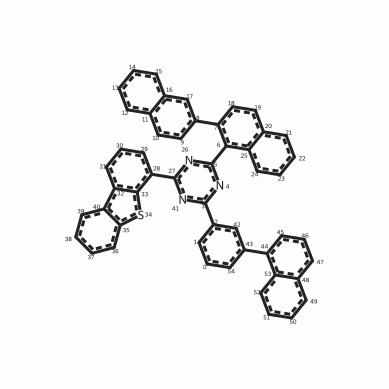 c1cc(-c2nc(-c3c(-c4ccc5ccccc5c4)ccc4ccccc34)nc(-c3cccc4c3sc3ccccc34)n2)cc(-c2cccc3ccccc23)c1